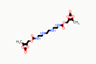 Cc1oc(=O)oc1COC(=O)NCCNCCNCCNC(=O)OCc1oc(=O)oc1C